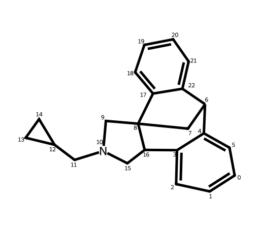 c1ccc2c(c1)C1CC3(CN(CC4CC4)CC23)c2ccccc21